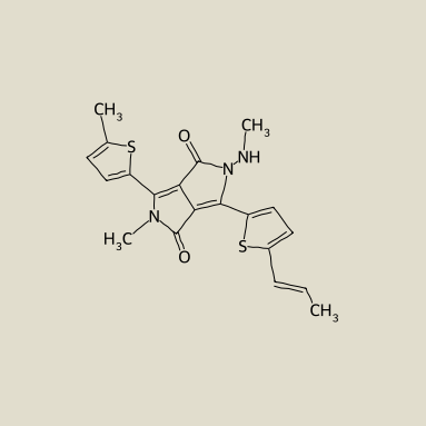 C/C=C/c1ccc(C2=C3C(=O)N(C)C(c4ccc(C)s4)=C3C(=O)N2NC)s1